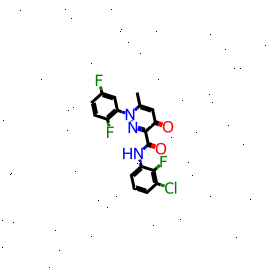 Cc1cc(=O)c(C(=O)Nc2cccc(Cl)c2F)nn1-c1cc(F)ccc1F